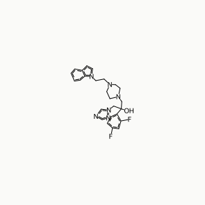 OC(CN1CCN(CCn2ccc3ccccc32)CC1)(Cn1cncn1)c1ccc(F)cc1F